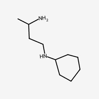 CC(N)CCNC1CCCCC1